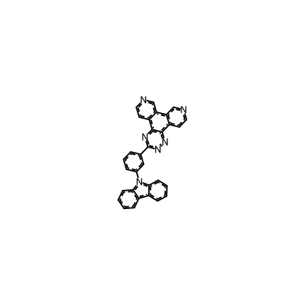 c1cc(-c2nnc3c4ccncc4c4cnccc4c3n2)cc(-n2c3ccccc3c3ccccc32)c1